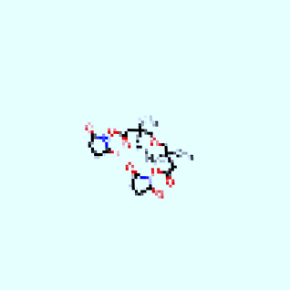 CC(C)(COCC(C)(C)CC(=O)ON1C(=O)CCC1=O)CC(=O)ON1C(=O)CCC1=O